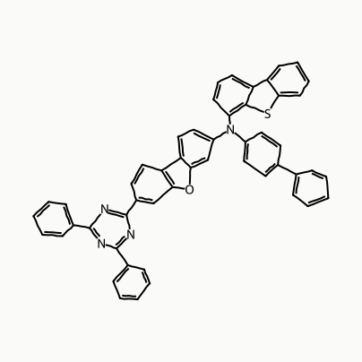 c1ccc(-c2ccc(N(c3ccc4c(c3)oc3cc(-c5nc(-c6ccccc6)nc(-c6ccccc6)n5)ccc34)c3cccc4c3sc3ccccc34)cc2)cc1